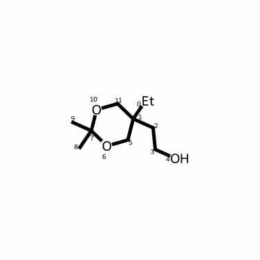 CCC1(CCO)COC(C)(C)OC1